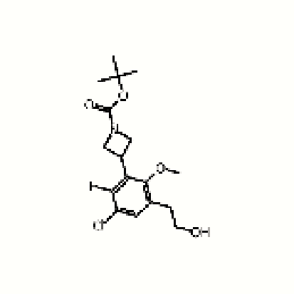 COc1c(CCO)cc(Cl)c(F)c1C1CN(C(=O)OC(C)(C)C)C1